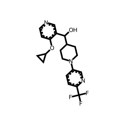 OC(c1cnccc1OC1CC1)C1CCN(c2ccc(C(F)(F)F)nc2)CC1